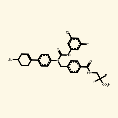 CC(C)(C)C1CC=C(c2ccc(N(Cc3ccc(C(=O)NCC(F)(F)C(=O)O)cc3)C(=O)Nc3cc(Cl)cc(Cl)c3)cc2)CC1